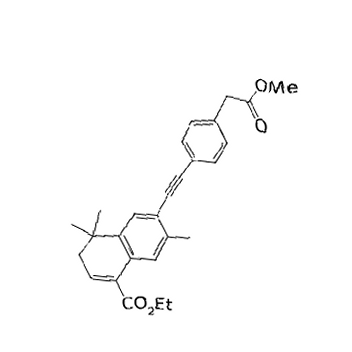 CCOC(=O)C1=CCC(C)(C)c2cc(C#Cc3ccc(CC(=O)OC)cc3)c(C)cc21